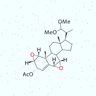 COC(OC)C(C)[C@H]1CCC2C3C(CC[C@@]21C)[C@]1(C)C(=C[C@H](OC(C)=O)[C@@H]2O[C@@H]21)[C@H]1O[C@@H]31